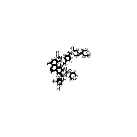 Cc1c(F)cc2[nH]ncc2c1-c1c(C2CC2)cc2c(N3C[C@@H]4C[C@H]3CN4)nc(OC3CCOCC3)nc2c1OCc1ccc(CN2CCN(C3CCOCC3)CC2=O)cc1